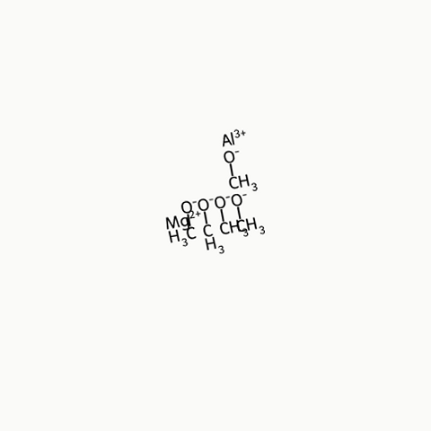 C[O-].C[O-].C[O-].C[O-].C[O-].[Al+3].[Mg+2]